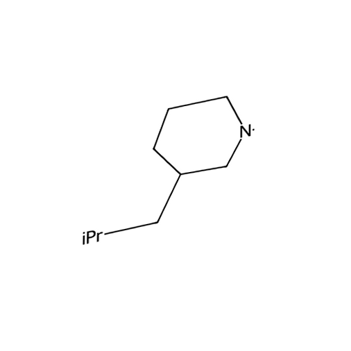 CC(C)CC1CCC[N]C1